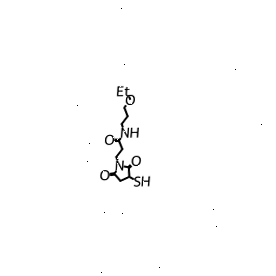 CCOCCCNC(=O)CCN1C(=O)CC(S)C1=O